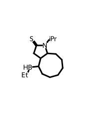 CCBC1CCCCCCC2C1CC(=S)N2C(C)C